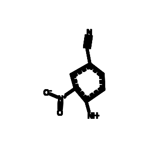 N#Cc1ccc([NH])c([N+](=O)[O-])c1